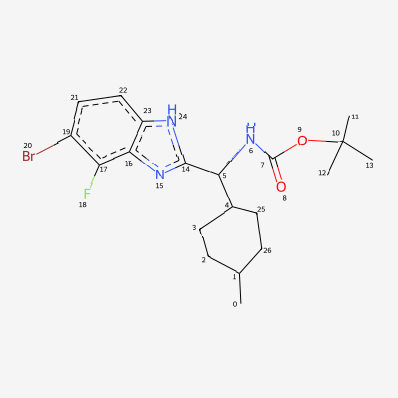 CC1CCC(C(NC(=O)OC(C)(C)C)c2nc3c(F)c(Br)ccc3[nH]2)CC1